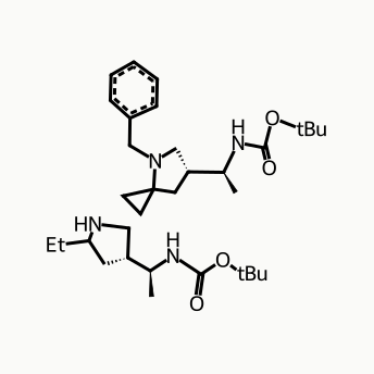 CCC1C[C@@H]([C@H](C)NC(=O)OC(C)(C)C)CN1.C[C@H](NC(=O)OC(C)(C)C)[C@H]1CN(Cc2ccccc2)C2(CC2)C1